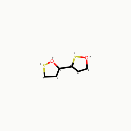 [CH]1COSC1C1CCSO1